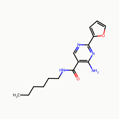 CCCCCCNC(=O)c1cnc(-c2ccco2)nc1N